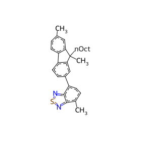 CCCCCCCCC1(C)c2cc(C)ccc2-c2ccc(-c3ccc(C)c4nsnc34)cc21